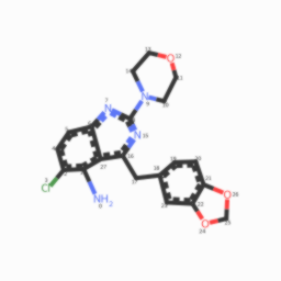 Nc1c(Cl)ccc2nc(N3CCOCC3)nc(Cc3ccc4c(c3)OCO4)c12